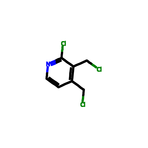 ClCc1ccnc(Cl)c1CCl